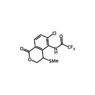 CSC1COC(=O)c2ccc(Cl)c(NC(=O)C(F)(F)F)c21